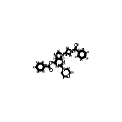 O=C(Oc1nc(N2CCOCC2)nc2c1ncn2C1CN(C(=O)c2ccccc2)C1)c1ccccc1